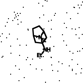 CCNC1CC2CCC(C1)N2CC